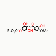 CCOC(=O)COc1cc(O)c(CCC(=O)c2ccc(OC)c(O)c2)c(O)c1